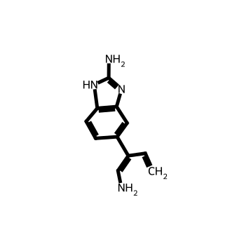 C=C/C(=C\N)c1ccc2[nH]c(N)nc2c1